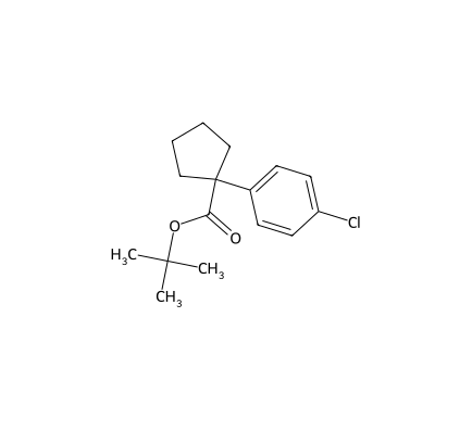 CC(C)(C)OC(=O)C1(c2ccc(Cl)cc2)CCCC1